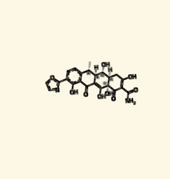 C[C@H]1c2ccc(-c3ncco3)c(O)c2C(=O)C2=C(O)[C@]3(O)C(=O)C(C(N)=O)=C(O)C[C@@H]3[C@@H](O)[C@@H]21